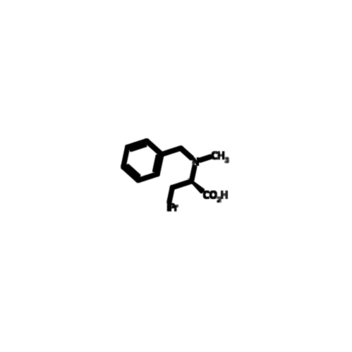 CC(C)C[C@H](C(=O)O)N(C)Cc1ccccc1